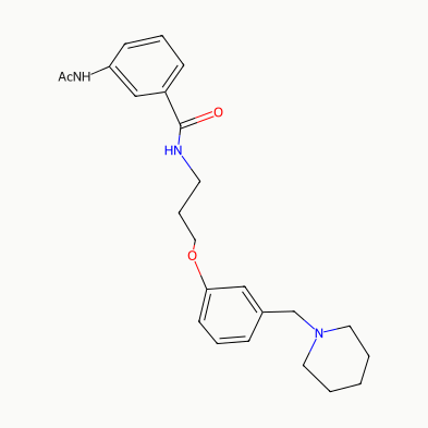 CC(=O)Nc1cccc(C(=O)NCCCOc2cccc(CN3CCCCC3)c2)c1